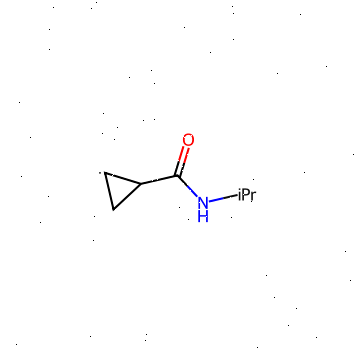 CC(C)NC(=O)C1[CH]C1